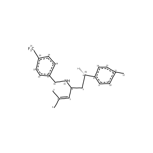 CC(C)=CC(C[C@H](C)c1ccc(C)cc1)NCc1ccc(C(F)(F)F)cc1